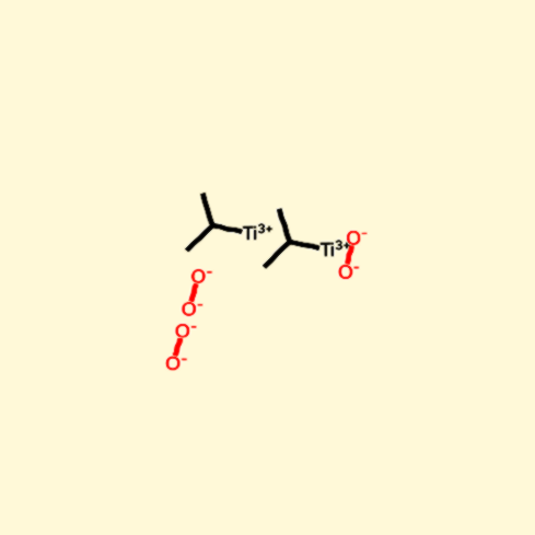 C[CH](C)[Ti+3].C[CH](C)[Ti+3].[O-][O-].[O-][O-].[O-][O-]